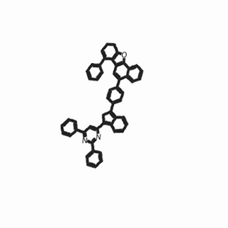 C1=C(c2ccccc2)c2c(oc3c2cc(-c2ccc(C4=c5ccccc5=C(c5cc(-c6ccccc6)nc(-c6ccccc6)n5)C4)cc2)c2ccccc23)CC1